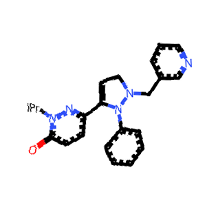 CC(C)n1nc(C2=CCN(Cc3cccnc3)N2c2ccccc2)ccc1=O